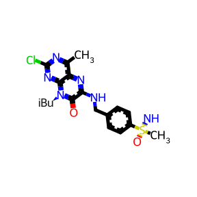 CC[C@H](C)n1c(=O)c(NCc2ccc(S(C)(=N)=O)cc2)nc2c(C)nc(Cl)nc21